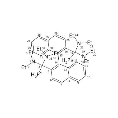 CCN(CC)C(P)(c1ccc2ccccc2c1-c1c(C(P)(N(CC)CC)N(CC)CC)ccc2ccccc12)N(CC)CC